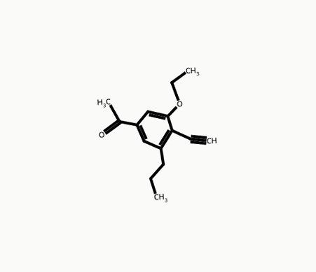 C#Cc1c(CCC)cc(C(C)=O)cc1OCC